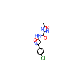 Cc1nc(C(=O)NC2CC(c3ccc(Cl)cc3)=NO2)no1